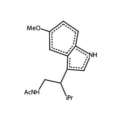 COc1ccc2[nH]cc(C(CNC(C)=O)C(C)C)c2c1